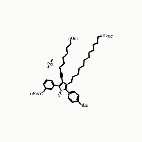 CCCCCCCCCCCCCCCCC#CC1=C(c2cccc(CCCCC)c2)[N+](=[N-])C(c2ccc(CCCC)cc2)=C1CCCCCCCCCCCCCCCCCCCCCC.[CH3][Pd][CH3]